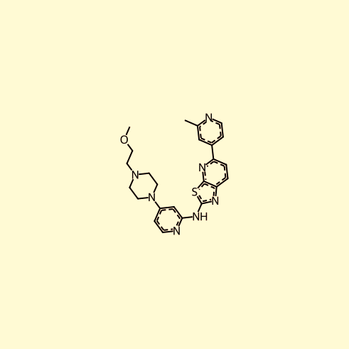 COCCN1CCN(c2ccnc(Nc3nc4ccc(-c5ccnc(C)c5)nc4s3)c2)CC1